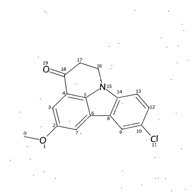 COc1cc2c3c(c1)c1cc(Cl)ccc1n3CCC2=O